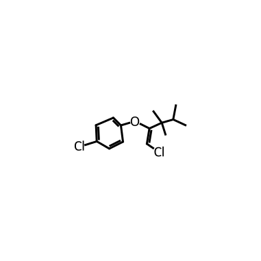 CC(C)C(C)(C)C(=CCl)Oc1ccc(Cl)cc1